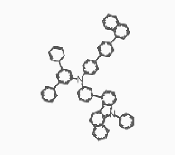 C1=CCC(c2cc(-c3ccccc3)cc(N(c3ccc(-c4ccc(-c5cccc6ccccc56)cc4)cc3)c3cccc(-c4cccc5c4c4ccc6ccccc6c4n5-c4ccccc4)c3)c2)C=C1